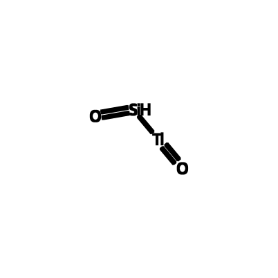 O=[SiH][Tl]=[O]